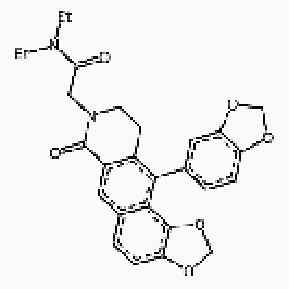 CCN(CC)C(=O)CN1CCc2c(cc3ccc4c(c3c2-c2ccc3c(c2)OCO3)OCO4)C1=O